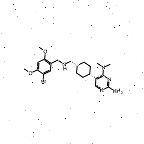 COc1cc(OC)c(CNC[C@H]2CC[C@@H](c3cnc(N)nc3N(C)C)CC2)cc1Br